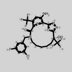 Nc1cc(C(F)(F)F)c2nc1-c1nnc(o1)[C@@](O)(C(F)(F)F)CCCCCN(Cc1cc(F)cc(Cl)c1)C2=O